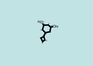 O[C]1CC(O)CC(C2CCC2)C1